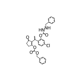 C=C(C1=C(OC(=O)OCc2ccccc2)CCC1=O)c1ccc(Cl)cc1OC(=O)NNCc1ccccc1